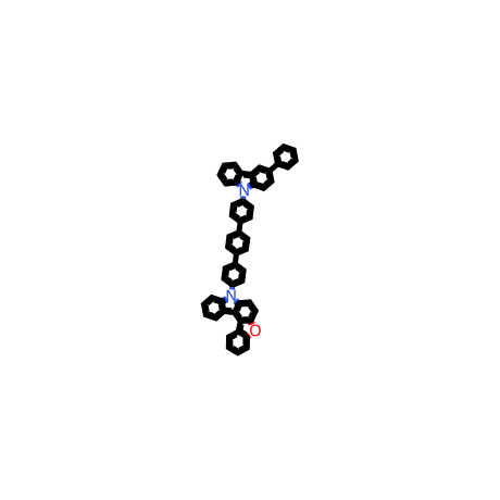 c1ccc(-c2ccc3c(c2)c2ccccc2n3-c2ccc(-c3ccc(-c4ccc(-n5c6ccccc6c6c7c(ccc65)oc5ccccc57)cc4)cc3)cc2)cc1